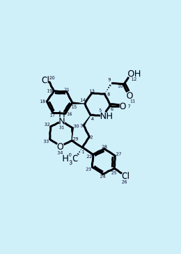 C[C@](CC[C@@H]1NC(=O)[C@@H](CC(=O)O)C[C@@H]1c1cccc(Cl)c1)(c1ccc(Cl)cc1)[C@@H]1CNCCO1